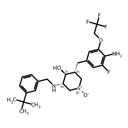 CC(C)(C)c1cccc(CN[C@H]2C[S@@+]([O-])C[C@@H](Cc3cc(F)c(N)c(OCC(F)(F)F)c3)[C@@H]2O)c1